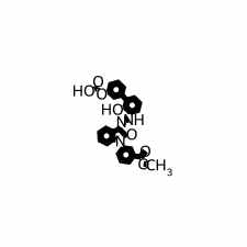 COC(=O)c1cccc(N2C(=O)C(=NNc3cccc(-c4cccc(OC(=O)O)c4)c3O)c3ccccc32)c1